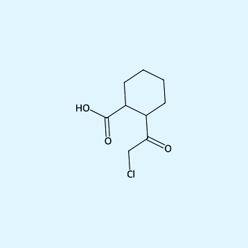 O=C(O)C1CCCCC1C(=O)CCl